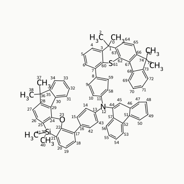 CC1(C)c2cccc(-c3ccc(N(c4ccc(-c5cccc6c5Oc5c(ccc7c5-c5ccccc5C7(C)C)[Si]6(C)C)cc4)c4cc5ccccc5c5ccccc45)cc3)c2Sc2c1ccc1c2-c2ccccc2C1(C)C